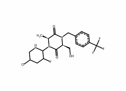 C[C@H]1C(=O)N(Cc2ccc(C(F)(F)F)cc2)[C@@H](CO)C(=O)N1C1NCC(Cl)CC1F